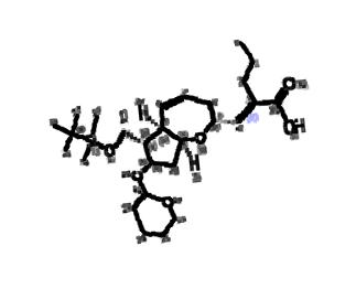 CCC/C(=C\[C@H]1CC=C[C@@H]2[C@@H](CO[Si](C)(C)C(C)(C)C)[C@H](OC3CCCCO3)C[C@@H]2O1)C(=O)O